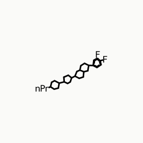 CCCC1CCC(C2CCC(C3CCC4CC(c5ccc(F)c(F)c5)CCC4C3)CC2)CC1